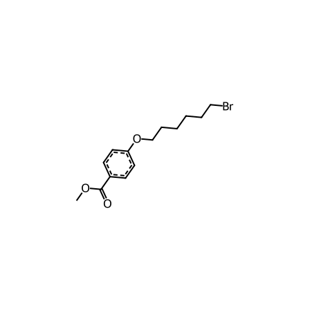 COC(=O)c1ccc(OCCCCCCBr)cc1